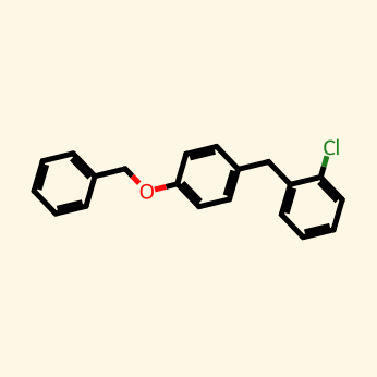 Clc1ccccc1Cc1ccc(OCc2ccccc2)cc1